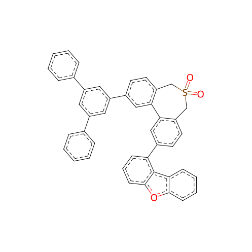 O=S1(=O)Cc2ccc(-c3cc(-c4ccccc4)cc(-c4ccccc4)c3)cc2-c2cc(-c3cccc4oc5ccccc5c34)ccc2C1